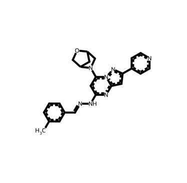 Cc1cccc(/C=N/Nc2cc(N3CC4CC3CO4)n3nc(-c4ccncc4)cc3n2)c1